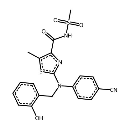 Cc1sc(N(Cc2ccccc2O)c2ccc(C#N)cc2)nc1C(=O)NS(C)(=O)=O